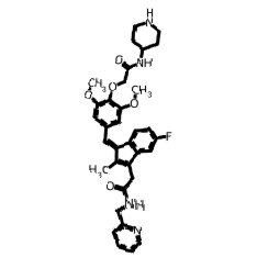 COc1cc(/C=C2/C(C)=C(CC(=O)NCc3ccccn3)c3cc(F)ccc32)cc(OC)c1OCC(=O)NC1CCNCC1